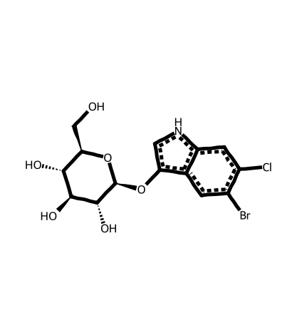 OC[C@H]1O[C@@H](Oc2c[nH]c3cc(Cl)c(Br)cc23)[C@H](O)[C@@H](O)[C@@H]1O